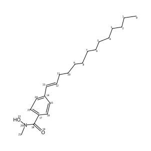 CCCCCCCCCCCCC=Cc1ccc(C(=O)N(C)O)cc1